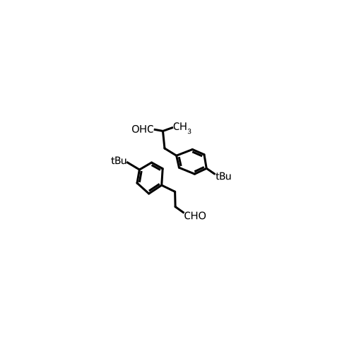 CC(C)(C)c1ccc(CCC=O)cc1.CC(C=O)Cc1ccc(C(C)(C)C)cc1